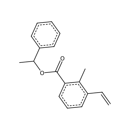 C=Cc1cccc(C(=O)OC(C)c2ccccc2)c1C